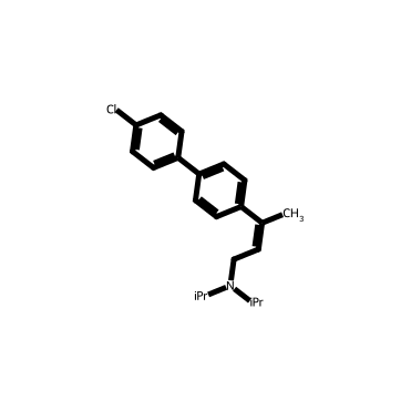 C/C(=C/CN(C(C)C)C(C)C)c1ccc(-c2ccc(Cl)cc2)cc1